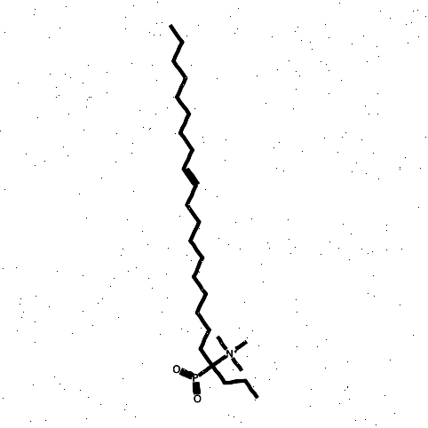 CCCCCCCCC=CCCCCCCCCCC(CCC)(P(=O)=O)[N+](C)(C)C